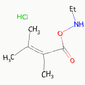 CCNOC(=O)C(C)=C(C)C.Cl